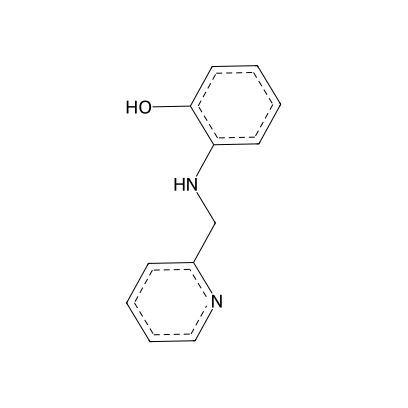 Oc1ccccc1NCc1ccccn1